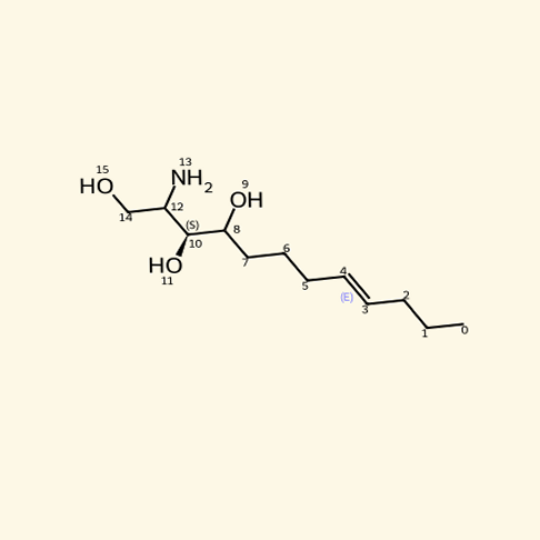 CCC/C=C/CCCC(O)[C@@H](O)C(N)CO